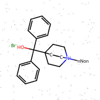 CCCCCCCCC[N+]12CCC(C(O)(c3ccccc3)c3ccccc3)(CC1)CC2.[Br-]